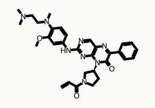 C=CC(=O)N1CC[C@H](n2c(=O)c(-c3ccccc3)nc3cnc(Nc4ccc(N(C)CCN(C)C)c(OC)c4)nc32)C1